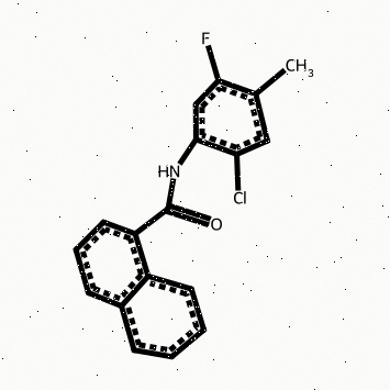 Cc1cc(Cl)c(NC(=O)c2cccc3ccccc23)cc1F